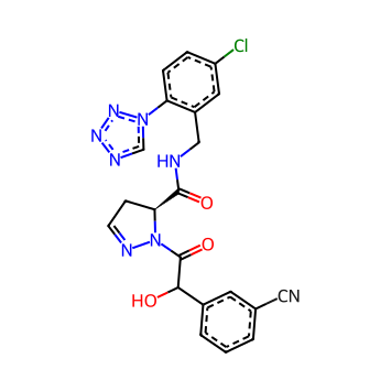 N#Cc1cccc(C(O)C(=O)N2N=CC[C@H]2C(=O)NCc2cc(Cl)ccc2-n2cnnn2)c1